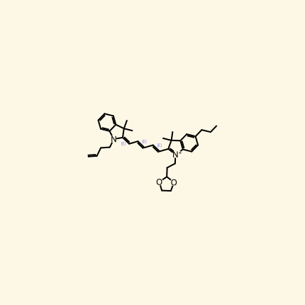 C=CCCN1/C(=C/C=C/C=C/C2=[N+](CCC3OCCO3)c3ccc(CCC)cc3C2(C)C)C(C)(C)c2ccccc21